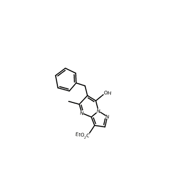 CCOC(=O)c1cnn2c(O)c(Cc3ccccc3)c(C)nc12